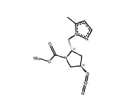 Cc1ccnn1C[C@@H]1C[C@@H](N=[N+]=[N-])CN1C(=O)OC(C)(C)C